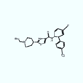 CCC(C)CN1CCC(c2nc(C(=O)NC3C=CC(F)=CC3c3ccc(Cl)cc3)cs2)CC1